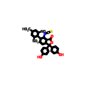 O=C(O)c1cc([N+](=O)[O-])c(-c2ccc3c(c2N=C=S)C(=O)OC3(c2ccc(O)cc2)c2ccc(O)cc2)c([N+](=O)[O-])c1